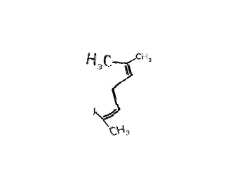 CC(C)=CC/C=C(/C)I